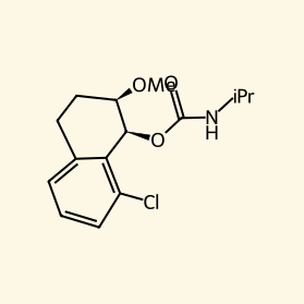 CO[C@@H]1CCc2cccc(Cl)c2[C@@H]1OC(=O)NC(C)C